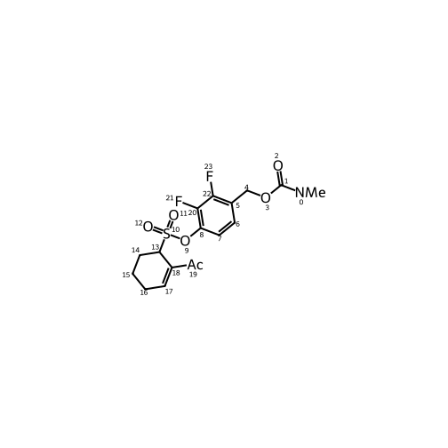 CNC(=O)OCc1ccc(OS(=O)(=O)C2CCCC=C2C(C)=O)c(F)c1F